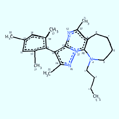 CCCCN1CCCCc2c(C)nc3c(-c4c(C)cc(C)cc4C)c(C)nn3c21